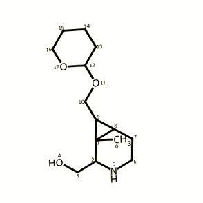 CC12C(CO)NCCC1C2COC1CCCCO1